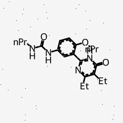 CCCNC(=O)Nc1ccc(OCCC)c(-c2nc(CC)c(CC)c(=O)[nH]2)c1